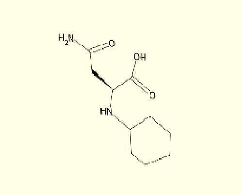 NC(=O)C[C@H](NC1CCCCC1)C(=O)O